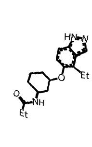 CCC(=O)NC1CCCC(Oc2ccc3[nH]ncc3c2CC)C1